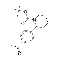 CC(=O)c1ccc(C2CCCCN2C(=O)OC(C)(C)C)cc1